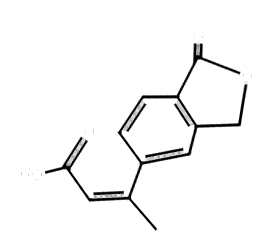 C/C(=C/C(=O)O)c1ccc2c(c1)COC2=O